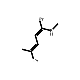 CB/C(=C\C=C(/C)C(C)C)C(C)C